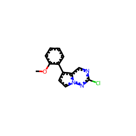 COc1ccccc1-c1ccn2nc(Cl)ncc12